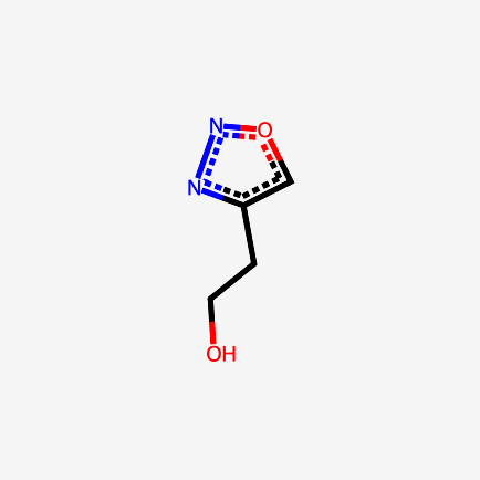 OCCc1conn1